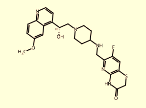 COc1ccc2nccc([C@@H](O)CN3CCC(NCc4nc5c(cc4F)SCC(=O)N5)CC3)c2c1